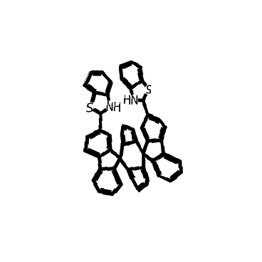 c1ccc2c(c1)NC(c1ccc3c(c1)C1(c4ccccc4-3)c3ccccc3C3(c4ccccc4-c4ccc(C5Nc6ccccc6S5)cc43)c3ccccc31)S2